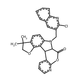 CC1(C)COc2c1ccc1c2C2c3cccnc3OC(=O)C2N1Cc1cc2ccccc2nc1Cl